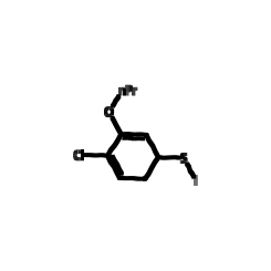 CCCOC1=CC(SI)CC=C1Cl